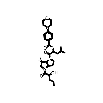 CCCC(O)C(=O)N1CC(=O)C2C1CCN2C(=O)C(CC(C)C)NC(=O)c1ccc(N2CCOCC2)cc1